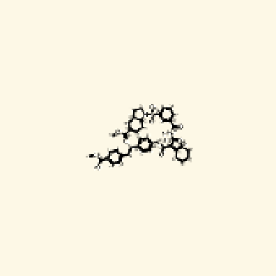 COC(=O)c1ccc(CCc2ccc(NC(=O)c3c(NC(=O)c4cccc(S(=O)(=O)N5CCC6CC(C(=O)OC)CCC65)c4)sc4c3CCCC4)cc2)cc1